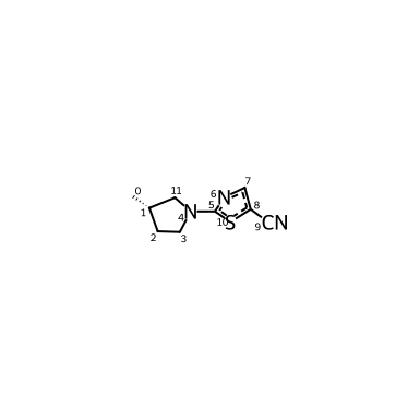 C[C@H]1CCN(c2ncc(C#N)s2)C1